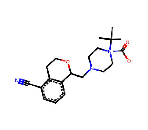 CC(C)(C)[N+]1(C(=O)[O-])CCN(CC2OCCc3c(C#N)cccc32)CC1